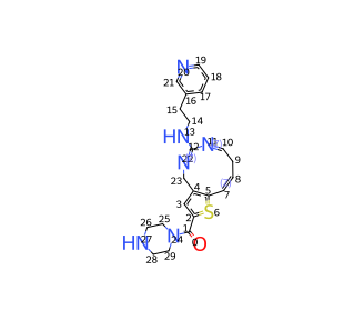 O=C(c1cc2c(s1)/C=C\C/C=N\C(NCCc1cccnc1)=N/C2)N1CCNCC1